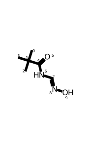 CC(C)(C)C(=O)NC=NO